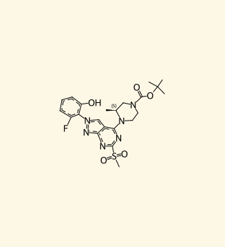 C[C@H]1CN(C(=O)OC(C)(C)C)CCN1c1nc(S(C)(=O)=O)nc2nn(-c3c(O)cccc3F)cc12